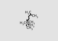 CC[SH](C)(C)(C)CCCC(C)C